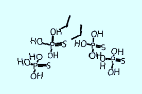 CCC.CCC.OP(O)(O)=S.OP(O)(O)=S.OP(O)(O)=S.OP(O)(O)=S